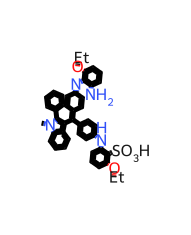 CCOc1cccc(N)c1N=C1C=CC(=C(c2ccc(Nc3cccc(OCC)c3S(=O)(=O)O)cc2)c2c(-c3ccccc3)n(C)c3ccccc23)C=C1